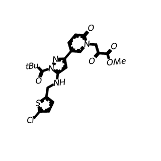 COC(=O)C(=O)Cn1cc(-c2cc(NCc3ccc(Cl)s3)n(C(=O)C(C)(C)C)n2)ccc1=O